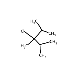 CC(C)C(C)(Cl)C(C)C